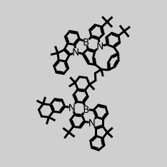 CC(C)(C)c1ccc2c(c1)-c1ccc(cc1)C(C)(CCC1(C)CCC(C)(C)c3cc4c(cc31)B1c3c(cc(C(C)(C)C)cc3-n3c5c(c6cccc1c63)C(C)(C)c1ccccc1-5)N4c1ccc3c(c1)C(C)(C)CCC3(C)C)c1cc3c4c(c1)-n1c5c(c6cccc(c61)B4c1ccc(C(C)(C)C)cc1N23)C(C)(C)c1ccccc1-5